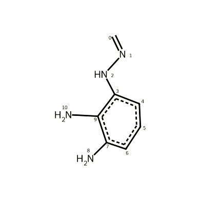 C=NNc1cccc(N)c1N